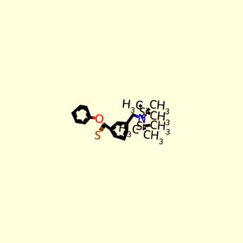 C[Si](C)(C)N(Cc1cccc(C(=S)Oc2ccccc2)c1)[Si](C)(C)C